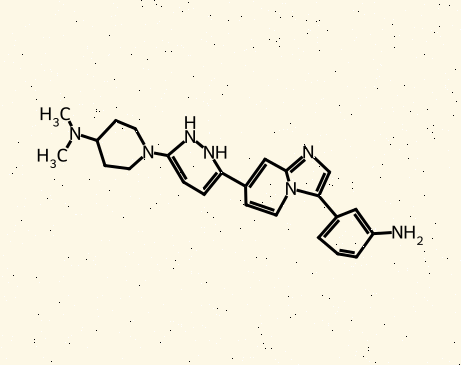 CN(C)C1CCN(C2=CC=C(c3ccn4c(-c5cccc(N)c5)cnc4c3)NN2)CC1